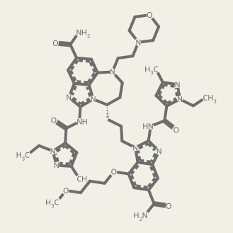 CCn1nc(C)cc1C(=O)Nc1nc2cc(C(N)=O)cc(OCCCOC)c2n1CCC[C@H]1CCN(CCN2CCOCC2)c2cc(C(N)=O)cc3nc(NC(=O)c4cc(C)nn4CC)n1c23